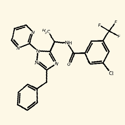 CC(NC(=O)c1cc(Cl)cc(C(F)(F)F)c1)c1nc(Cc2ccccc2)nn1-c1ncccn1